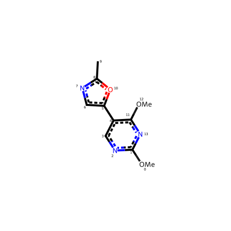 COc1ncc(-c2cnc(C)o2)c(OC)n1